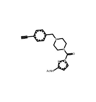 C#Cc1ccc(CN2CCN(C(=O)n3ccc(NC(C)=O)n3)CC2)cc1